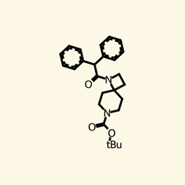 CC(C)(C)OC(=O)N1CCC2(CC1)CCN2C(=O)C(c1ccccc1)c1ccccc1